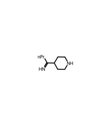 CCCC(=N)C1CCNCC1